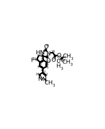 Cn1cc(-c2ccc3c(c2)[C@H](F)C[C@]32NC(=O)N(CC(=O)OC(C)(C)C)C2=O)cn1